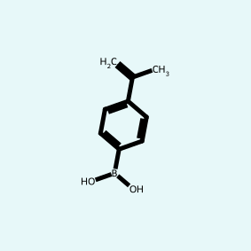 C=C(C)c1ccc(B(O)O)cc1